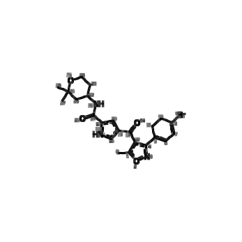 Cc1onc(C2=CC=C(Br)CC2)c1C(=O)c1c[nH]c(C(=O)NC2CCOC(C)(C)C2)c1